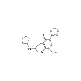 CCn1cc(-c2ccco2)c(=O)c2cc(NC3CCCC3)cnc21